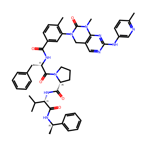 Cc1ccc(Nc2ncc3c(n2)N(C)C(=O)N(c2cc(C(=O)N[C@@H](Cc4ccccc4)C(=O)N4CCC[C@@H]4C(=O)N[C@H](C(=O)N[C@H](C)c4ccccc4)C(C)C)ccc2C)C3)cn1